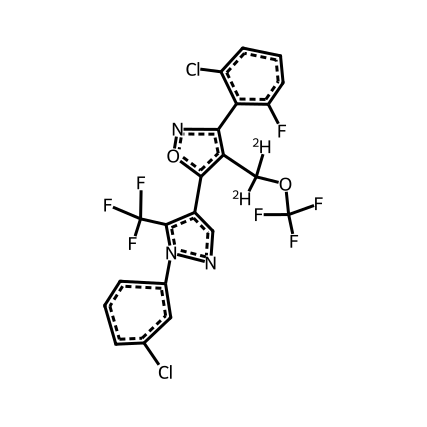 [2H]C([2H])(OC(F)(F)F)c1c(-c2c(F)cccc2Cl)noc1-c1cnn(-c2cccc(Cl)c2)c1C(F)(F)F